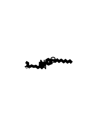 C=CCCCCCCCOc1ccc(-c2ncc(CCCCC[C@@H](C)CC)cn2)cc1